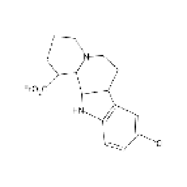 CCOC(=O)C1CCCN2CCC3c4cc(Cl)ccc4NC3C12